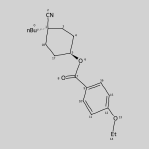 CCCC[C@]1(C#N)CC[C@@H](OC(=O)c2ccc(OCC)cc2)CC1